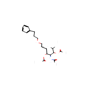 CC(=O)NC(C(CCCOCCCc1ccccc1)OC(C)=O)C(OC(C)=O)C(C)C